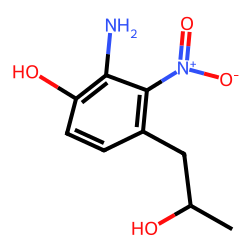 CC(O)Cc1ccc(O)c(N)c1[N+](=O)[O-]